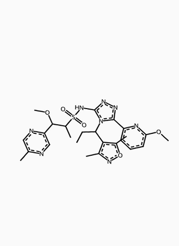 CCC(c1c(C)noc1C)n1c(NS(=O)(=O)C(C)C(OC)c2cnc(C)cn2)nnc1-c1cccc(OC)n1